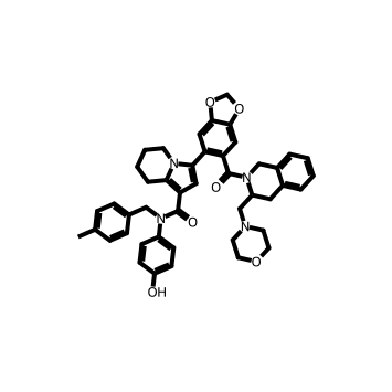 Cc1ccc(CN(C(=O)c2cc(-c3cc4c(cc3C(=O)N3Cc5ccccc5CC3CN3CCOCC3)OCO4)n3c2CCCC3)c2ccc(O)cc2)cc1